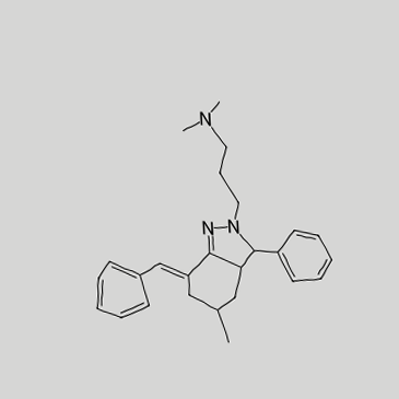 CC1CC(=Cc2ccccc2)C2=NN(CCCN(C)C)C(c3ccccc3)C2C1